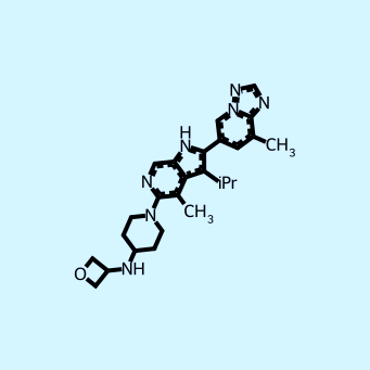 Cc1c(N2CCC(NC3COC3)CC2)ncc2[nH]c(-c3cc(C)c4ncnn4c3)c(C(C)C)c12